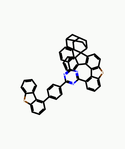 c1ccc(-c2nc(-c3ccc(-c4cccc5sc6ccccc6c45)cc3)nc(-c3cccc4sc5ccc6c(c5c34)-c3ccccc3C63C4CC5CC(C4)CC3C5)n2)cc1